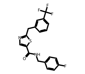 O=C(NCc1ccc(F)cc1)c1cnc(Cc2cccc(C(F)(F)F)c2)s1